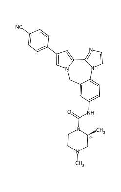 C[C@H]1CN(C)CCN1C(=O)Nc1ccc2c(c1)Cn1cc(-c3ccc(C#N)cc3)cc1-c1nccn1-2